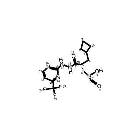 O=CN(O)C[C@@H](CC1CCC1)C(=O)NNc1nccc(C(F)(F)F)n1